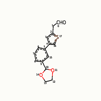 O=CCc1cc(-c2cccc(C3OCCO3)c2)cs1